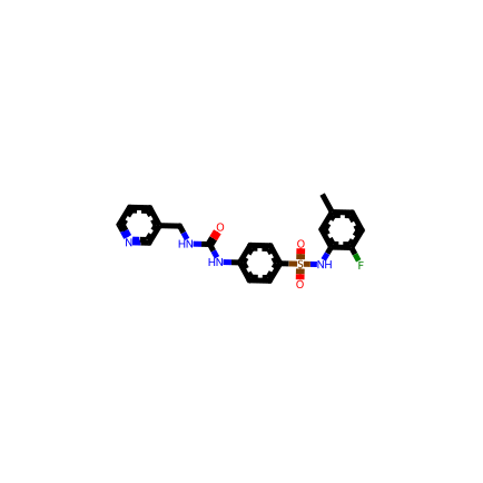 Cc1ccc(F)c(NS(=O)(=O)c2ccc(NC(=O)NCc3cccnc3)cc2)c1